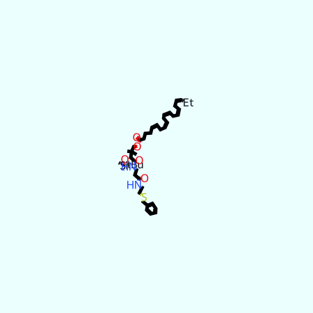 CC/C=C\C/C=C\C/C=C\C/C=C\C/C=C\CCCC(=O)OCC(C)(C)[C@@H](O[Si](C)(C)C(C)(C)C)C(=O)NCCC(=O)NCCSCc1ccccc1